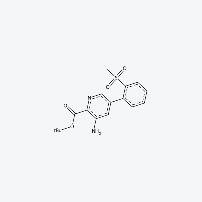 CC(C)(C)OC(=O)c1ncc(-c2ccccc2S(C)(=O)=O)cc1N